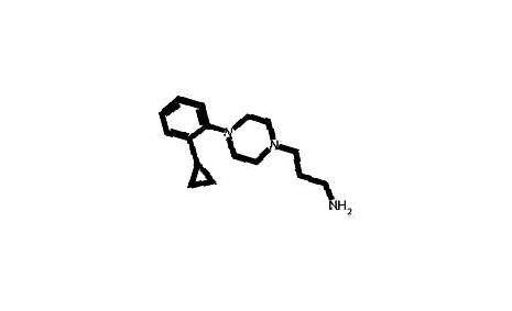 NCCCN1CCN(c2ccccc2C2CC2)CC1